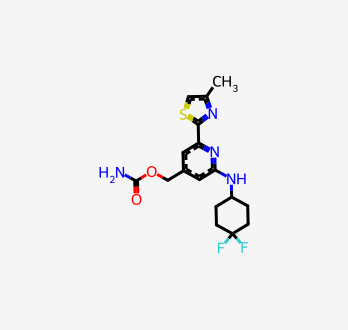 Cc1csc(-c2cc(COC(N)=O)cc(NC3CCC(F)(F)CC3)n2)n1